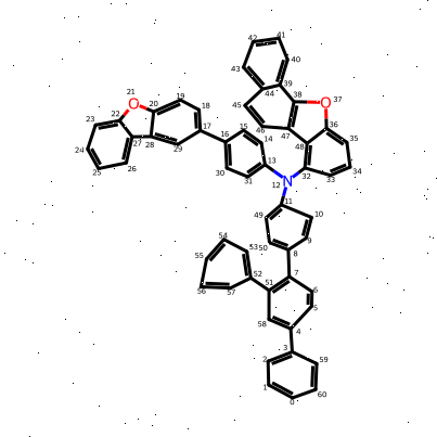 c1ccc(-c2ccc(-c3ccc(N(c4ccc(-c5ccc6oc7ccccc7c6c5)cc4)c4cccc5oc6c7ccccc7ccc6c45)cc3)c(-c3ccccc3)c2)cc1